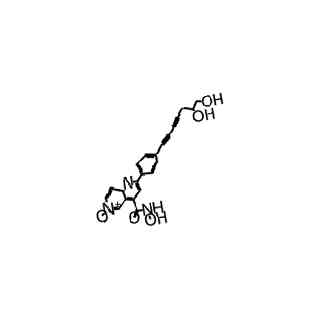 O=C(NO)c1cc(-c2ccc(C#CC#CCC(O)CO)cc2)nc2cc[n+]([O-])cc12